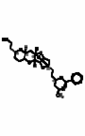 C=C(Br)C[C@@H](CC[C@@]12CC3O[C@H]4C(O1)[C@H]1O[C@@H](CCO)CCC1O[C@H]4C3O2)OC(=O)c1ccccc1